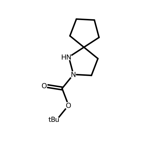 CC(C)(C)OC(=O)N1CCC2(CCCC2)N1